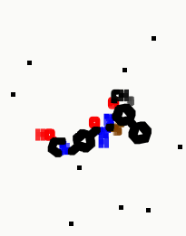 COc1ccc(-c2ccccc2)c2sc(NC(=O)c3ccc(CN4CCC(O)C4)cc3)nc12